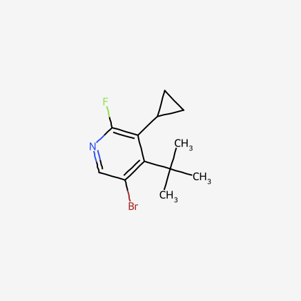 CC(C)(C)c1c(Br)cnc(F)c1C1CC1